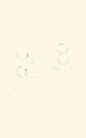 CCOC(=O)COc1cccc(CN(CCCn2c(CCOC)nc3c(N)nc4ccccc4c32)C(=O)CN(CC)CC)c1OC